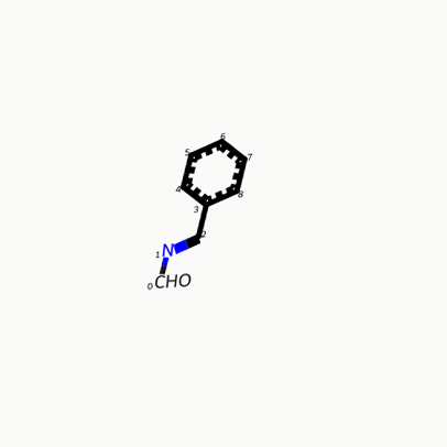 O=CN=Cc1ccccc1